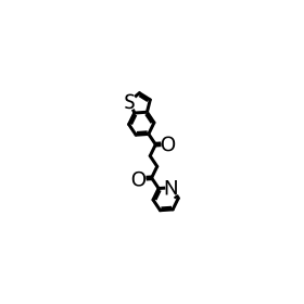 O=C(CCC(=O)c1ccccn1)c1ccc2sccc2c1